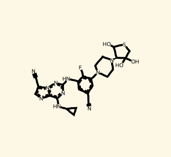 N#Cc1cc(Nc2nc(NC3CC3)c3ncc(C#N)n3n2)c(F)c(N2CCN([C@H]3C(O)SCC3(O)O)CC2)c1